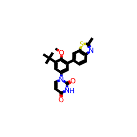 COc1c(-c2ccc3nc(C)sc3c2)cc(-n2ccc(=O)[nH]c2=O)cc1C(C)(C)C